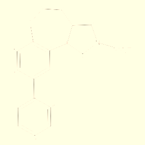 O=C(O)N1CC2CCOc3ccc(-c4ccccc4)cc3C2C1